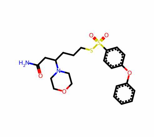 NC(=O)CC(CCCSS(=O)(=O)c1ccc(Oc2ccccc2)cc1)N1CCOCC1